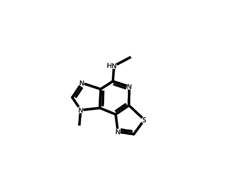 CNc1nc2scnc2c2c1ncn2C